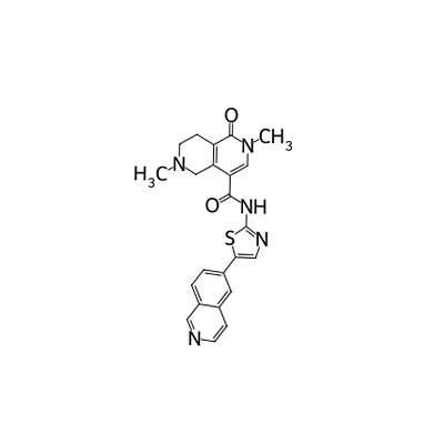 CN1CCc2c(c(C(=O)Nc3ncc(-c4ccc5cnccc5c4)s3)cn(C)c2=O)C1